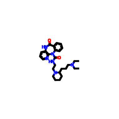 CCN(CC)CCCC1CCCCN1CCNC(=O)N1c2ccccc2C(=O)Nc2cccnc21